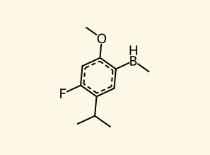 CBc1cc(C(C)C)c(F)cc1OC